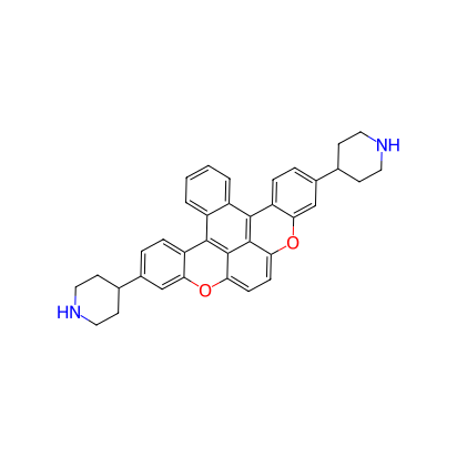 c1ccc2c3c4c(ccc5c4c(c2c1)-c1ccc(C2CCNCC2)cc1O5)Oc1cc(C2CCNCC2)ccc1-3